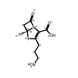 NCCCC1=C(C(=O)O)N2C(=O)C[C@H]2S1